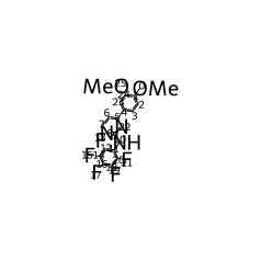 COc1ccc(-c2ccnc(Nc3c(F)c(F)c(F)c(F)c3F)n2)cc1OC